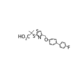 CC(C)(Sc1nc(COc2ccc(-c3ccc(F)cc3)cc2)cs1)C(=O)O